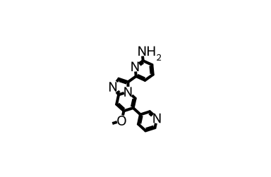 COc1cc2ncc(-c3cccc(N)n3)n2cc1-c1cccnc1